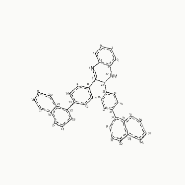 c1ccc2c(c1)N=C(c1ccc(-c3cccc4ccccc34)cc1)C(c1ccc(-c3cccc4ccccc34)cc1)N2